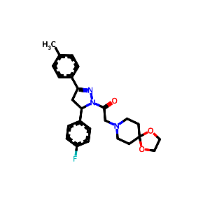 Cc1ccc(C2=NN(C(=O)CN3CCC4(CC3)OCCO4)C(c3ccc(F)cc3)C2)cc1